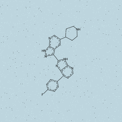 Fc1ccc(-c2ccnc3[nH]c(-c4n[nH]c5ncc(C6CCNCC6)cc45)nc23)cc1